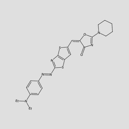 CCN(CC)c1ccc(/N=N/c2nc3sc(/C=C4/OC(N5CCCCC5)=NC4=O)cc3s2)cc1